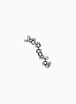 Cc1ncc(C(=O)NCc2cc3nc(-c4ccnc(N5CCC6(CC5)CNC(=O)N6)n4)ccc3cn2)cc1S(C)(=O)=O